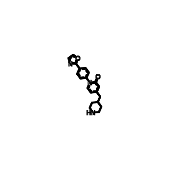 O=c1cc(CC2CCNCC2)ccn1-c1ccc(-c2ncco2)cc1